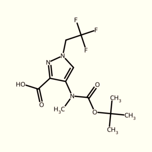 CN(C(=O)OC(C)(C)C)c1cn(CC(F)(F)F)nc1C(=O)O